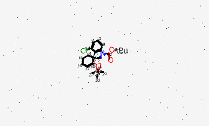 CC(C)(C)OC(=O)/N=C/[C@@]1(c2ccccc2Cl)CCCC=C1O[Si](C)(C)C